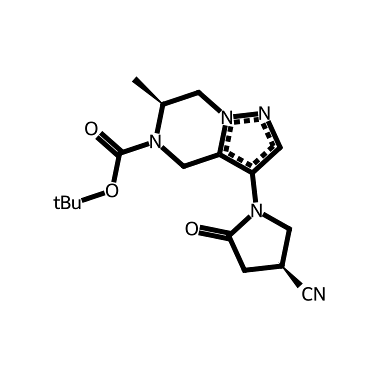 C[C@H]1Cn2ncc(N3C[C@@H](C#N)CC3=O)c2CN1C(=O)OC(C)(C)C